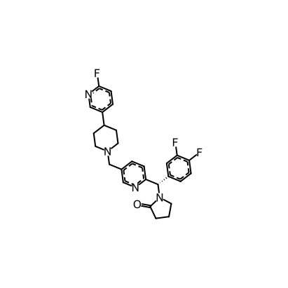 O=C1CCCN1[C@@H](c1ccc(F)c(F)c1)c1ccc(CN2CCC(c3ccc(F)nc3)CC2)cn1